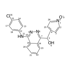 [O-][n+]1ccc(C(O)c2nnc(Nc3ccc(Cl)cc3)c3ccccc23)cc1